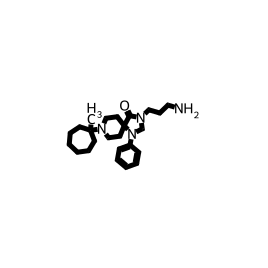 CC1(N2CCC3(CC2)C(=O)N(CCCN)CN3c2ccccc2)CCCCCC1